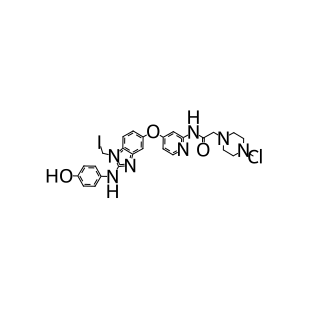 O=C(CN1CCN(Cl)CC1)Nc1cc(Oc2ccc3c(c2)nc(Nc2ccc(O)cc2)n3CI)ccn1